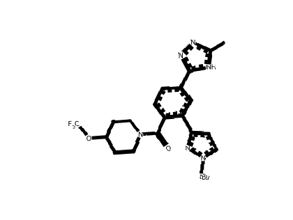 Cc1nnc(-c2ccc(C(=O)N3CCC(OC(F)(F)F)CC3)c(-c3ccn(C(C)(C)C)n3)c2)[nH]1